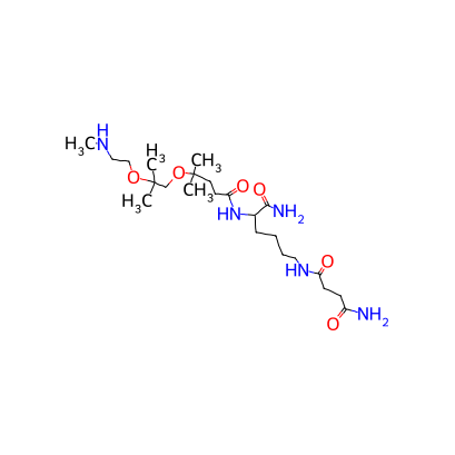 CNCCOC(C)(C)COC(C)(C)CCC(=O)NC(CCCCNC(=O)CCC(N)=O)C(N)=O